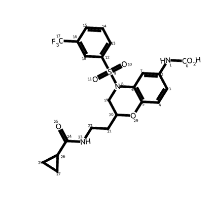 O=C(O)Nc1ccc2c(c1)N(S(=O)(=O)c1cccc(C(F)(F)F)c1)CC(CCNC(=O)C1CC1)O2